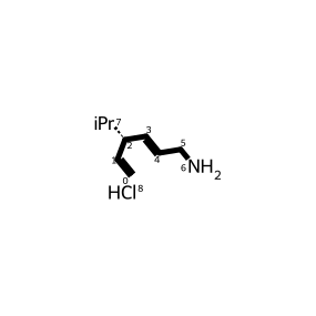 C=C[C@@H](C=CCN)C(C)C.Cl